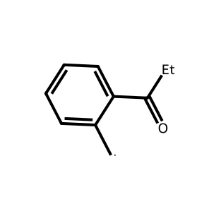 [CH2]c1ccccc1C(=O)CC